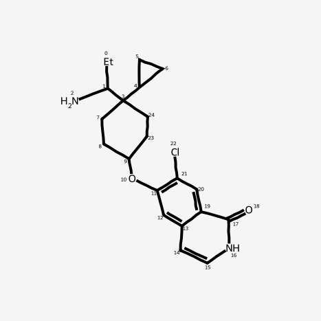 CCC(N)C1(C2CC2)CCC(Oc2cc3cc[nH]c(=O)c3cc2Cl)CC1